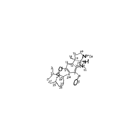 CC(C)[Si](Oc1cc(C=O)c2c(c1)[C@]1(C)CCN(C)[C@@H]1N2C)(C(C)C)C(C)C